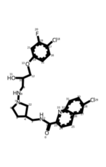 O=C(NCC1CCN(NCC(O)COc2ccc(Cl)c(F)c2)C1)c1ccc2cc(Cl)ccc2n1